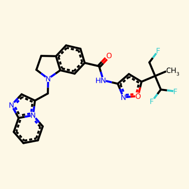 CC(CF)(c1cc(NC(=O)c2ccc3c(c2)N(Cc2cnc4ccccn24)CC3)no1)C(F)F